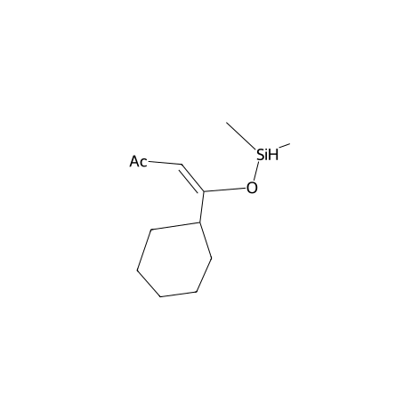 CC(=O)/C=C(/O[SiH](C)C)C1CCCCC1